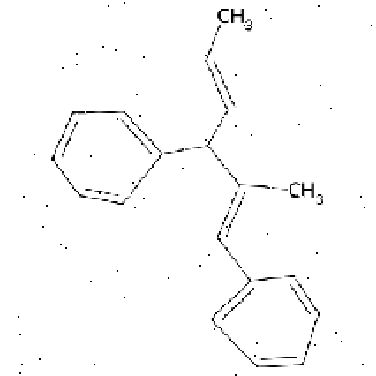 C/C=C/C(/C(C)=C/c1ccccc1)c1ccccc1